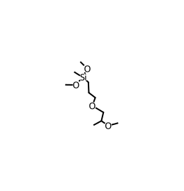 COC(C)COCCC[Si](C)(OC)OC